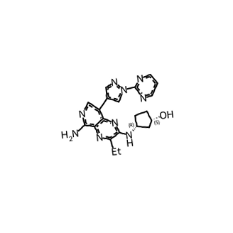 CCc1nc2c(N)ncc(-c3cnn(-c4ncccn4)c3)c2nc1N[C@@H]1CC[C@H](O)C1